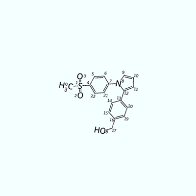 CS(=O)(=O)c1ccc(-n2cccc2-c2ccc(CO)cc2)cc1